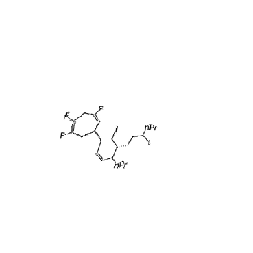 CCCC(I)CC[C@@H](CI)C(/C=C\CC1C=C(F)CC(F)=C(F)C1)CCC